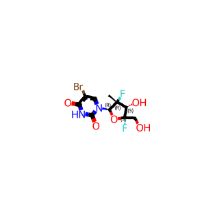 C[C@]1(F)[C@H](n2cc(Br)c(=O)[nH]c2=O)O[C@](F)(CO)[C@H]1O